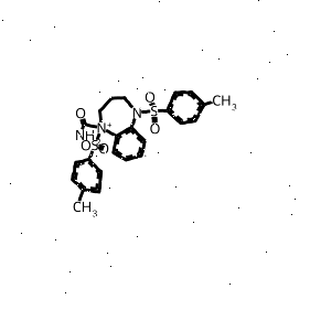 Cc1ccc(S(=O)(=O)N2CCC[N+](C(N)=O)(S(=O)(=O)c3ccc(C)cc3)c3cc[c]cc32)cc1